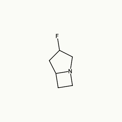 FC1CC2CCN2C1